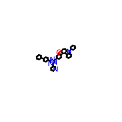 C1=CC2C(c3ccccc3N2c2ccccc2)c2c1oc1cc(-c3nc(-c4ccc(-c5ccccc5)cc4)nc(-c4cccnc4)n3)ccc21